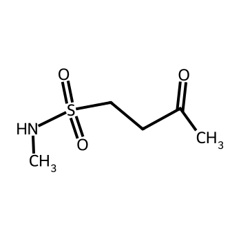 CNS(=O)(=O)CCC(C)=O